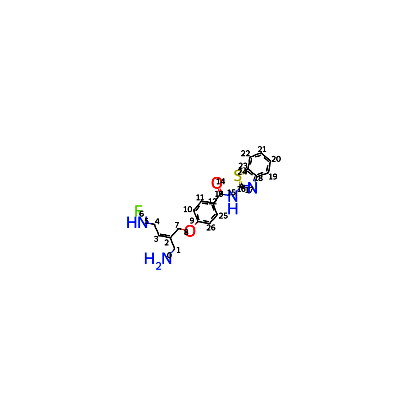 NC/C(=C/CNF)COc1ccc(C(=O)Nc2nc3ccccc3s2)cc1